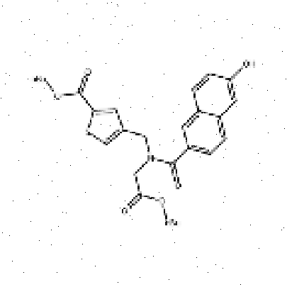 CCCCOC(=O)CN(Cc1csc(C(=O)OCCCC)c1)C(=O)c1ccc2cc(O)ccc2c1